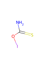 NC(=S)OI